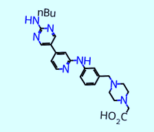 CCCCNc1ncc(-c2ccnc(Nc3cccc(CN4CCN(CC(=O)O)CC4)c3)c2)cn1